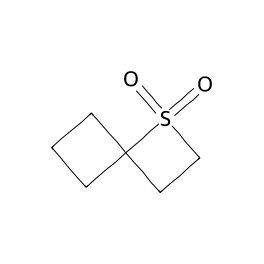 O=S1(=O)CCC12CCC2